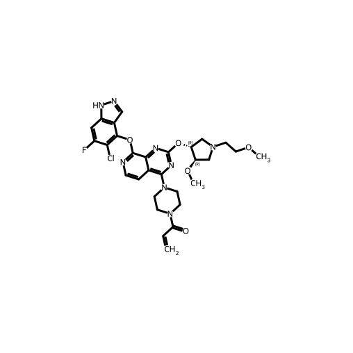 C=CC(=O)N1CCN(c2nc(O[C@@H]3CN(CCOC)C[C@H]3OC)nc3c(Oc4c(Cl)c(F)cc5[nH]ncc45)nccc23)CC1